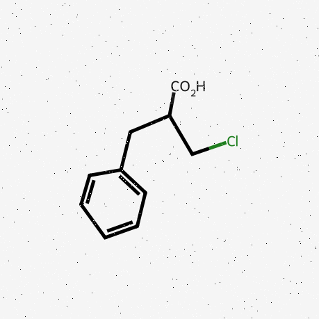 O=C(O)C(CCl)Cc1ccccc1